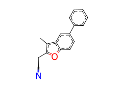 Cc1c(CC#N)oc2ccc(-c3ccccc3)cc12